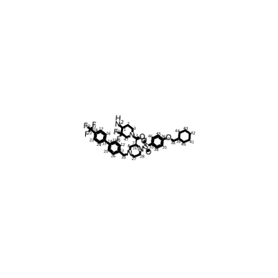 NC1CCN(C(=O)[C@@H]2CN(Cc3ccc(-c4ccc(C(F)(F)F)cc4)cc3)CCN2S(=O)(=O)c2ccc(OCC3CCCCC3)cc2)CC1(F)F